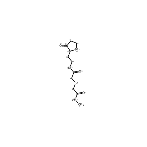 CNC(=O)CSCC(=O)NCCN1NCCC1=O